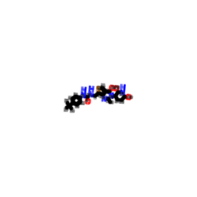 Cc1nc2c(CNC(=O)Nc3ccc(C(C)(C)C)cc3)scc2c(=O)n1C1CCC(=O)NC1=O